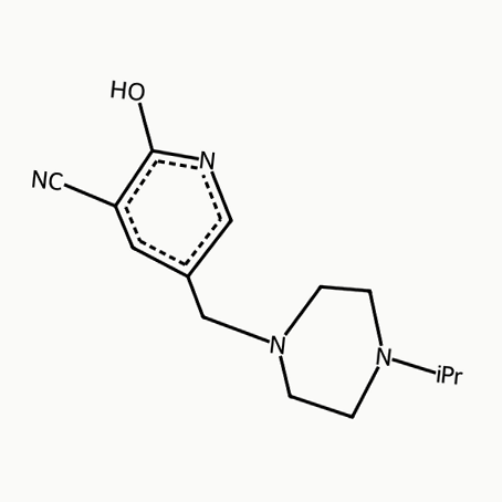 CC(C)N1CCN(Cc2cnc(O)c(C#N)c2)CC1